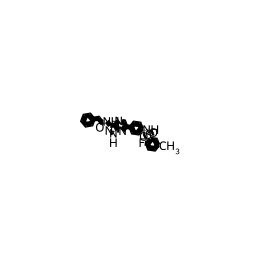 Cc1ccc(F)c(S(=O)(=O)Nc2ccc(-c3cnc4c(NC(=O)Cc5ccccc5)n[nH]c4n3)cc2)c1